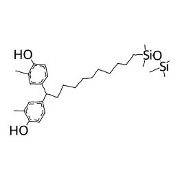 Cc1cc(C(CCCCCCCCCC[Si](C)(C)O[Si](C)(C)C)c2ccc(O)c(C)c2)ccc1O